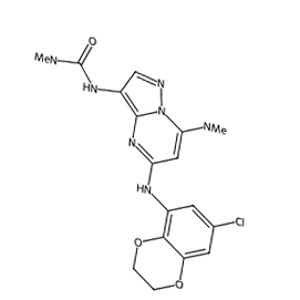 CNC(=O)Nc1cnn2c(NC)cc(Nc3cc(Cl)cc4c3OCCO4)nc12